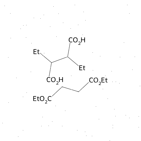 CCC(C(=O)O)C(CC)C(=O)O.CCOC(=O)CCC(=O)OCC